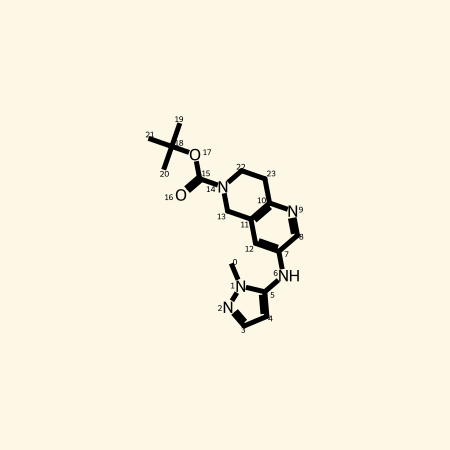 Cn1nccc1Nc1cnc2c(c1)CN(C(=O)OC(C)(C)C)CC2